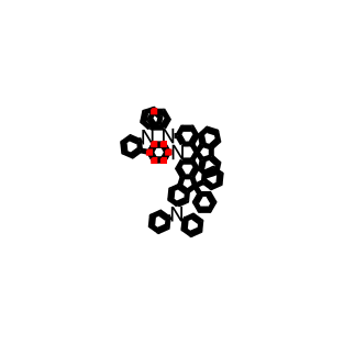 c1ccc(N(c2ccccc2)c2ccc3c(c2)C(c2ccccc2)(c2ccccc2)c2cc4c(cc2-3)N(c2ccccc2)c2c(N(c3ccccc3)c3cccc5c6ccccc6n(-c6ccccc6)c35)cccc2C42c3ccccc3-c3ccccc32)cc1